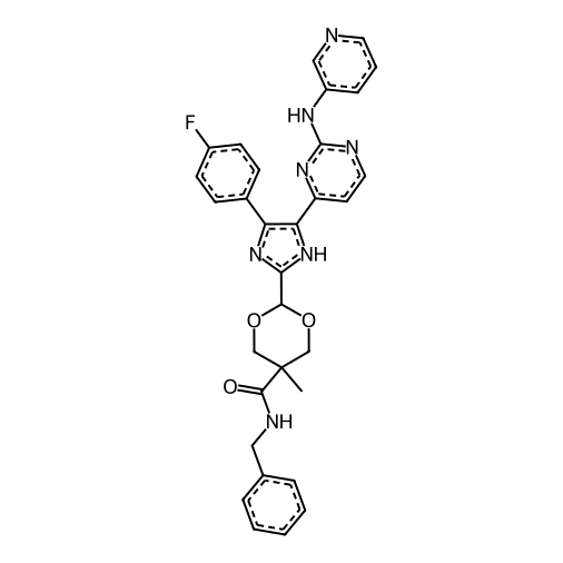 CC1(C(=O)NCc2ccccc2)COC(c2nc(-c3ccc(F)cc3)c(-c3ccnc(Nc4cccnc4)n3)[nH]2)OC1